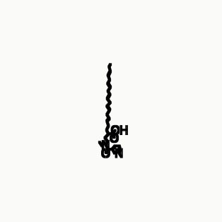 CCC=CCC=CCC=CCC=CCC=CCCC(CCN(CC)C(=O)c1cccnc1)C(=O)O